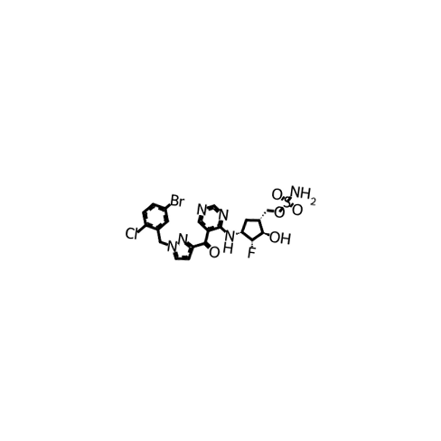 NS(=O)(=O)OC[C@H]1C[C@@H](Nc2ncncc2C(=O)c2ccn(Cc3cc(Br)ccc3Cl)n2)[C@@H](F)[C@@H]1O